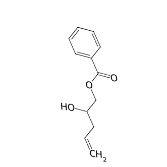 C=CCC(O)COC(=O)c1ccccc1